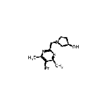 Cc1nc(CN2CCC(O)C2)nc(C)c1C(C)C